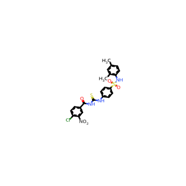 Cc1ccc(NS(=O)(=O)c2ccc(NC(=S)NC(=O)c3ccc(Cl)c([N+](=O)[O-])c3)cc2)c(C)c1